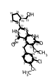 COc1ccc(Cc2c3c([nH]c(=O)c2OC)N=C(N2CCC[C@H]2CO)NC3=C=O)cc1Cl